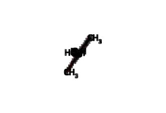 CCCCCCCCC=CCCCCCCCC(=O)OCCCCCCCCCCCCCCCC.O=S(=O)(O)O.[NaH]